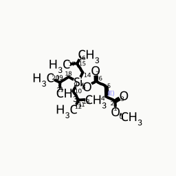 COC(=O)/C=C/C(=O)O[Si](CC(C)C)(CC(C)C)CC(C)C